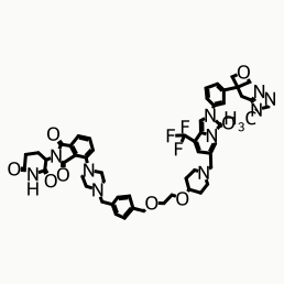 Cn1cnnc1CC1(c2cccc(-n3cc4c(C(F)(F)F)cc(CN5CCC(OCCOCc6ccc(CN7CCN(c8cccc9c8C(=O)N(C8CCC(=O)NC8=O)C9=O)CC7)cc6)CC5)cn4c3=O)c2)COC1